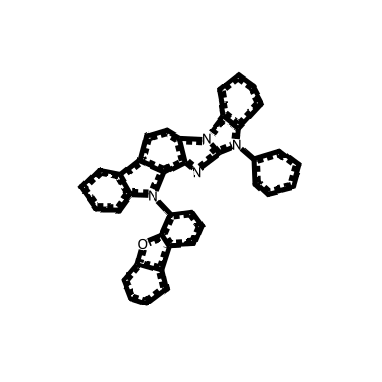 c1ccc(-n2c3ccccc3n3c4ccc5c6ccccc6n(-c6cccc7c6oc6ccccc67)c5c4nc23)cc1